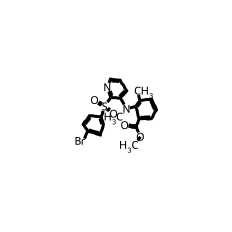 COC(=O)c1cccc(C)c1N(C)c1cccnc1S(=O)(=O)c1ccc(Br)cc1